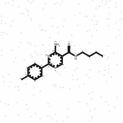 CCCCNC(=O)c1cnc(-c2ccc(C)cc2)nc1N